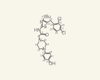 CC(C)(C)c1nc(NC(=O)CN2CCN(c3ccc(O)cc3)CC2)sc1Cc1ccc(Cl)cc1Cl